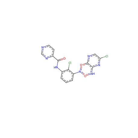 O=C(Nc1cccc(-n2o[nH]c3nc(Cl)cnc3o2)c1Cl)c1ccncn1